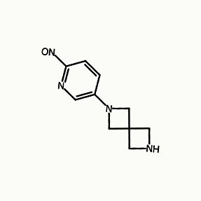 O=Nc1ccc(N2CC3(CNC3)C2)cn1